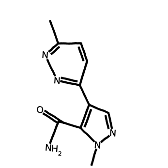 Cc1ccc(-c2cnn(C)c2C(N)=O)nn1